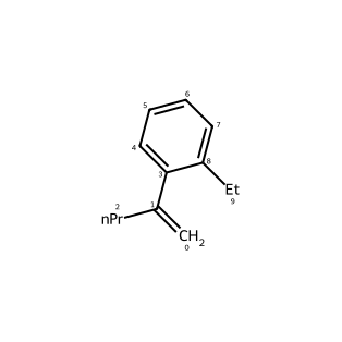 C=C(CCC)c1ccccc1CC